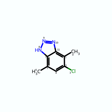 Cc1c(Cl)cc(C)c2[nH]nnc12